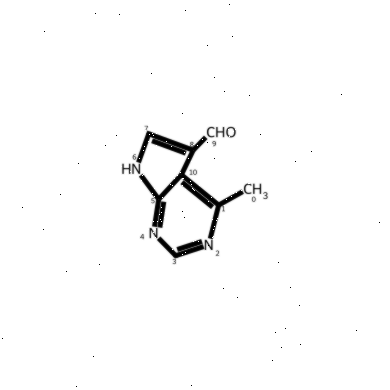 Cc1ncnc2[nH]cc(C=O)c12